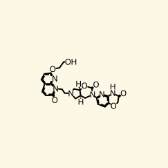 O=C1COc2ccc(N3C[C@H]4CN(CCn5c(=O)ccc6ccc(OCCO)nc65)C[C@@H]4OC3=O)nc2N1